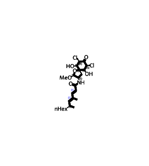 CCCCCC[C@@H](C)/C=C(C)/C=C/C(=O)N[C@H]1C[C@]2(O[C@H]1OC)[C@H](O)[C@H](Cl)C(=O)[C@H](Cl)[C@H]2O